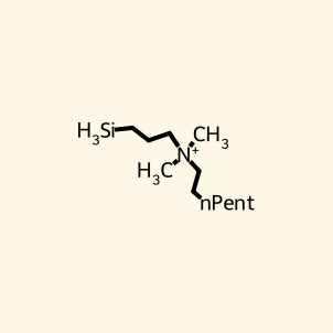 CCCCCCC[N+](C)(C)CCC[SiH3]